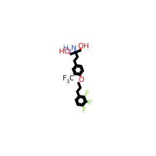 NC(CO)(CO)CCc1ccc(OCCCc2ccc(F)c(F)c2F)c(C(F)(F)F)c1